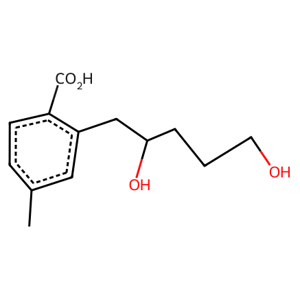 Cc1ccc(C(=O)O)c(CC(O)CCCO)c1